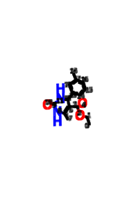 CCOC(=O)C1=C(C)NC(=O)NC1c1cccc(C)c1